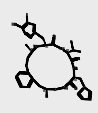 CC(C)[C@H]1NC(=O)[C@@H](Cc2ccc(O)c(I)c2)N[C@@H](C)COc2ccccc2C[C@H](C)CNC(=O)[C@H](Cn2cccc2)NC1=O